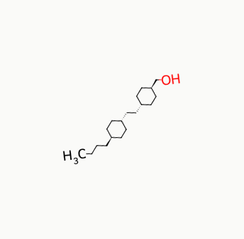 CCCC[C@H]1CC[C@H](CC[C@H]2CC[C@H](CO)CC2)CC1